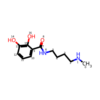 CNCCCCNC(=O)c1cccc(O)c1O